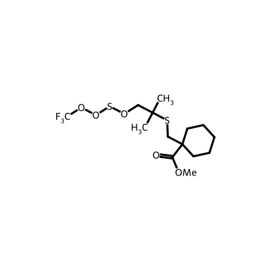 COC(=O)C1(CSC(C)(C)COSOOC(F)(F)F)CCCCC1